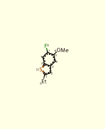 CCc1cc2cc(OC)c(F)cc2s1